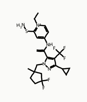 C=C(Nc1cc[n+](CC)c(SN)c1)c1c(C(F)(F)F)c(C2CC2)nn1CC1(C)CCC(F)(F)C1